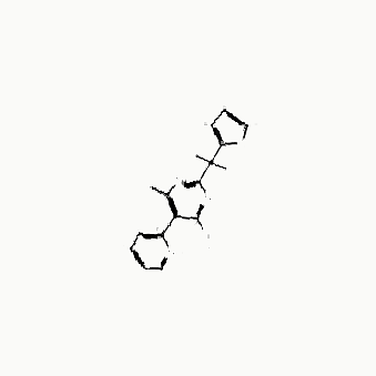 CC(C)(c1nc(O)c(-c2ccccn2)c(O)n1)c1cccs1